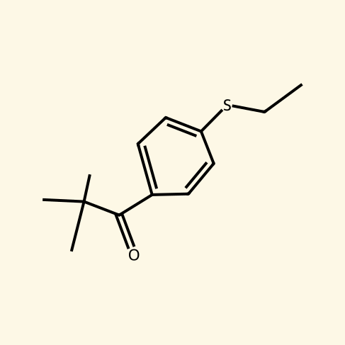 CCSc1ccc(C(=O)C(C)(C)C)cc1